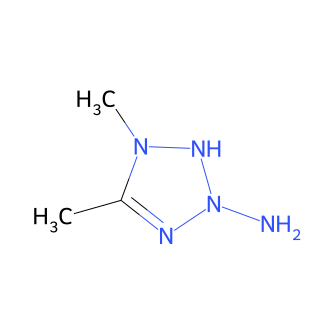 CC1=NN(N)NN1C